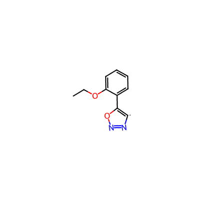 CCOc1ccccc1-c1[c]nno1